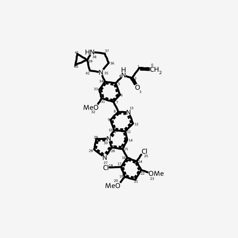 C=CC(=O)Nc1cc(-c2cc3c(cn2)cc(-c2c(Cl)c(OC)cc(OC)c2Cl)c2nccn23)c(OC)cc1N1CCNC2(CC2)C1